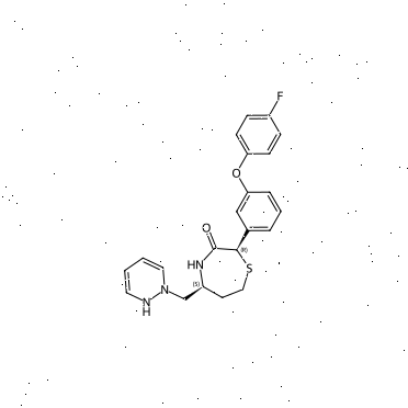 O=C1N[C@H](CN2C=CC=CN2)CCS[C@@H]1c1cccc(Oc2ccc(F)cc2)c1